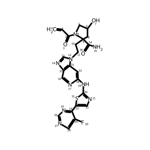 C=CC(=O)N1CC(O)CC1(CCn1cnc2cnc(Nc3ncc(-c4ncncc4F)s3)cc21)C(N)=O